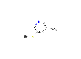 CCSc1cncc(C(F)(F)F)c1